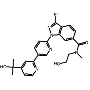 CCc1nn(-c2ccc(-c3cc(C(C)(C)O)ccn3)cn2)c2cc(C(=O)N(C)CCO)ccc12